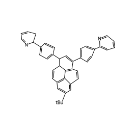 CC(C)(C)c1cc2c3c4c(ccc3c1)C(c1ccc(-c3ccccn3)cc1)=CC(c1ccc(C3CC=CC=N3)cc1)C4C=C2